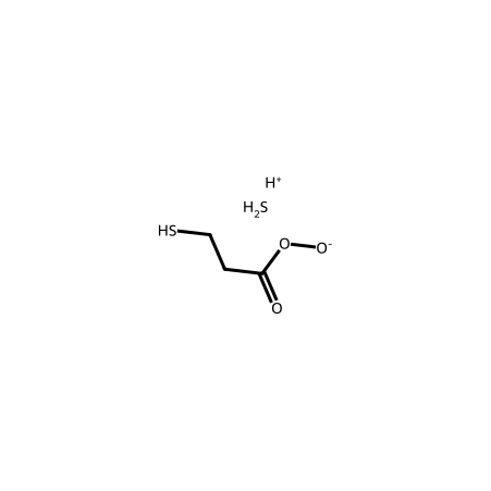 O=C(CCS)O[O-].S.[H+]